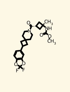 COC(=O)N[C@]1(C)C[C@H](C(=O)N2CCC3(CC2)CC(c2ccc4c(c2)OC(F)(F)O4)C3)C1